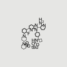 CC(C)(C)OC(=O)NC1(c2ccc(-n3c(-c4cccnc4N)nc4ccc(-c5cccc(N6CCC(N7CCCCS7(=O)=O)CC6)c5F)nc43)cc2)CCC1